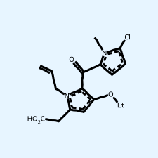 C=CCn1c(CC(=O)O)cc(OCC)c1C(=O)c1ccc(Cl)n1C